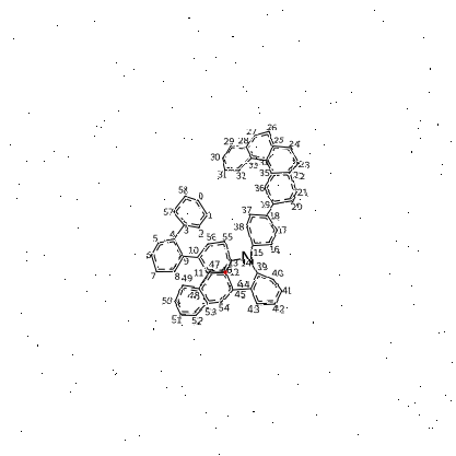 c1ccc(-c2ccccc2-c2ccc(N(c3ccc(-c4ccc5ccc6ccc7ccccc7c6c5c4)cc3)c3ccccc3-c3ccc4ccccc4c3)cc2)cc1